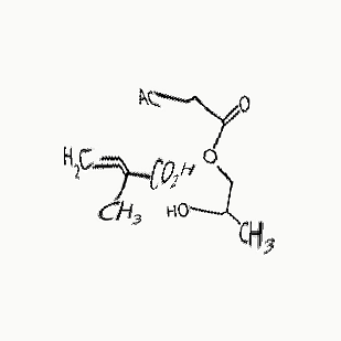 C=C(C)C(=O)O.CC(=O)CC(=O)OCC(C)O